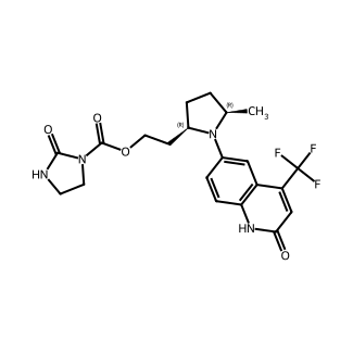 C[C@@H]1CC[C@H](CCOC(=O)N2CCNC2=O)N1c1ccc2[nH]c(=O)cc(C(F)(F)F)c2c1